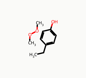 CCc1ccc(O)cc1.COOC